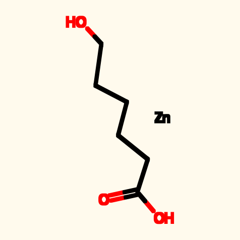 O=C(O)CCCCCO.[Zn]